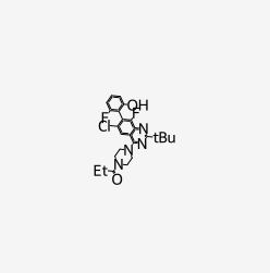 CCC(=O)N1CCN(c2nc(C(C)(C)C)nc3c(F)c(-c4c(O)cccc4F)c(Cl)cc23)CC1